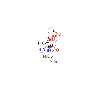 CC(C)C[C@H](NC(=O)[C@@H](N)C(C)C)C(=O)[AsH]C[C@H](O)CP(=O)(O)CC1CCCCC1